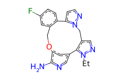 CCn1ncc2c1-c1cnc(N)c(c1)OCc1cc(F)ccc1-c1ccnn1C2